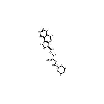 OC(CNC1CCCCC1)CON=C1CCc2c1ccc1ccccc21